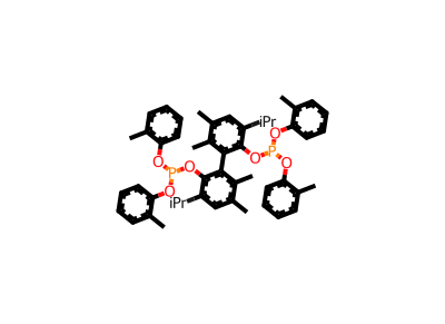 Cc1ccccc1OP(Oc1ccccc1C)Oc1c(C(C)C)cc(C)c(C)c1-c1c(C)c(C)cc(C(C)C)c1OP(Oc1ccccc1C)Oc1ccccc1C